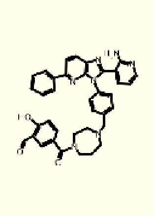 Nc1ncccc1-c1nc2ccc(-c3ccccc3)nc2n1-c1ccc(CN2CCCN(C(=O)c3ccc(O)c(C=O)c3)CC2)cc1